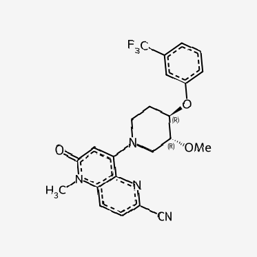 CO[C@@H]1CN(c2cc(=O)n(C)c3ccc(C#N)nc23)CC[C@H]1Oc1cccc(C(F)(F)F)c1